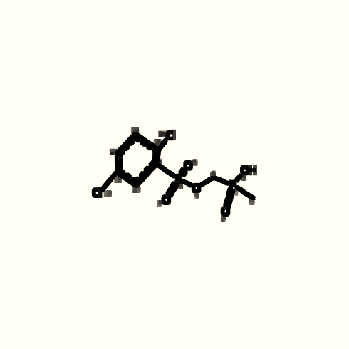 CP(=O)(O)COS(=O)(=O)c1cc(Cl)ccc1Cl